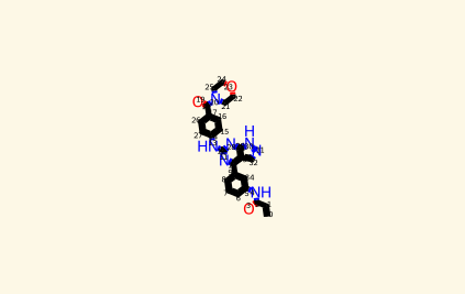 C=CC(=O)Nc1cccc(-c2nc(Nc3ccc(C(=O)N4CCOCC4)cc3)nc3[nH]ncc23)c1